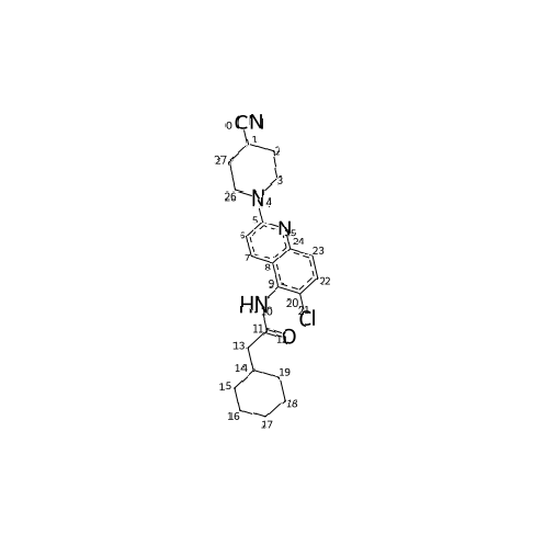 N#CC1CCN(c2ccc3c(NC(=O)CC4CCCCC4)c(Cl)ccc3n2)CC1